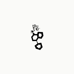 CC(C)(C)[S+]([O-])/N=C1/CC[C@H](c2ccccc2)c2ccccc21